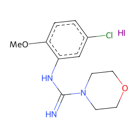 COc1ccc(Cl)cc1NC(=N)N1CCOCC1.I